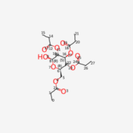 CCC(=O)OC[C@H]1O[C@@H](O)[C@H](OC(=O)CC)[C@@H](OC(=O)CC)[C@@H]1OC(=O)CC